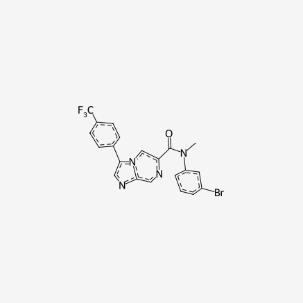 CN(C(=O)c1cn2c(-c3ccc(C(F)(F)F)cc3)cnc2cn1)c1cccc(Br)c1